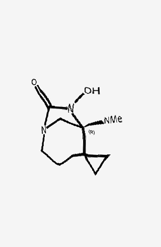 CN[C@]12CN(CCC13CC3)C(=O)N2O